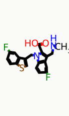 CNCc1c(C(=O)O)n(Cc2csc3ccc(F)cc23)c2ccc(F)cc12